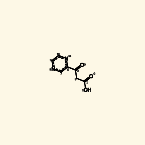 O=C(O)CC(=O)c1cnccn1